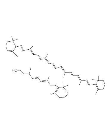 CC1=C(/C=C/C(C)=C/C=C/C(C)=C/CO)C(C)(C)CCC1.CC1=CCCC(C)(C)C1/C=C/C(C)=C/C=C/C(C)=C/C=C/C=C(C)/C=C/C=C(C)/C=C/C1=C(C)CCCC1(C)C